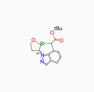 CC(C)(C)OC(=O)C(Br)c1cccc2cnn([C@H]3CCOC3)c12